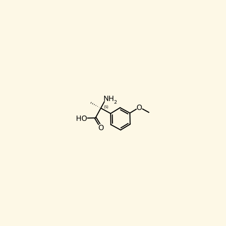 COc1cccc([C@](C)(N)C(=O)O)c1